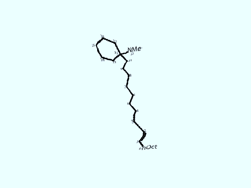 CCCCCCCCC=CCCCCCCCCC1([N]C)CCCCC1